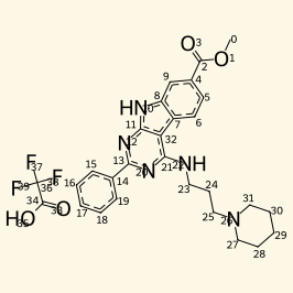 COC(=O)c1ccc2c(c1)[nH]c1nc(-c3ccccc3)nc(NCCCN3CCCCC3)c12.O=C(O)C(F)(F)F